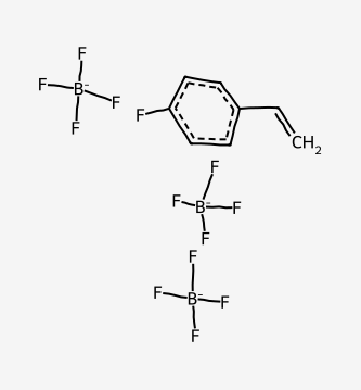 C=Cc1ccc(F)cc1.F[B-](F)(F)F.F[B-](F)(F)F.F[B-](F)(F)F